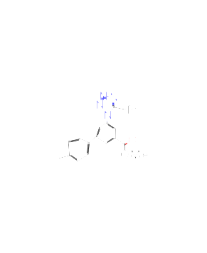 COC(=O)c1cc(-c2ccc(C)cc2)cc(-n2nnnc2C(C)C)c1